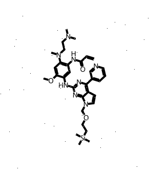 C=CC(=O)Nc1cc(Nc2nc(-c3cccnc3)c3ccn(COCC[Si](C)(C)C)c3n2)c(OC)cc1N(C)CCN(C)C